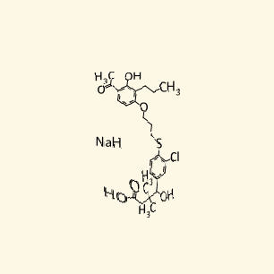 CCCc1c(OCCCSc2ccc(C(O)C(C)(C)CC(=O)O)cc2Cl)ccc(C(C)=O)c1O.[NaH]